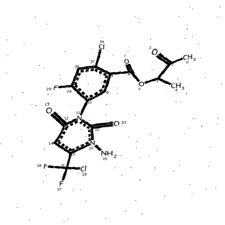 CC(=O)C(C)OC(=O)c1cc(-n2c(=O)cc(C(F)(F)Cl)n(N)c2=O)c(F)cc1Cl